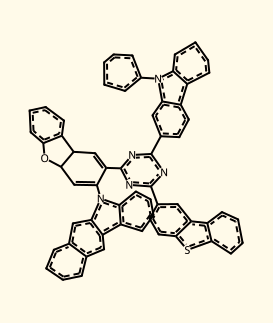 C1=C(c2nc(-c3ccc4sc5ccccc5c4c3)nc(-c3ccc4c5ccccc5n(-c5ccccc5)c4c3)n2)C(n2c3ccccc3c3cc4ccccc4cc32)=CC2Oc3ccccc3C12